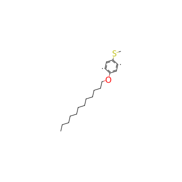 CCCCCCCCCCCCOc1[c]cc(SC)[c]c1